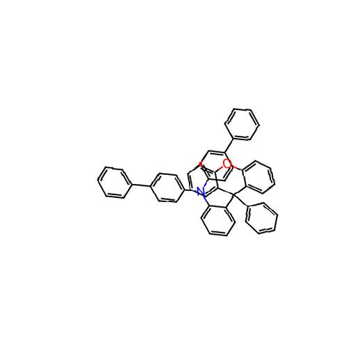 c1ccc(-c2ccc(N(c3ccc(-c4ccccc4)cc3)c3ccccc3C3(c4ccccc4)c4ccccc4Oc4ccccc43)cc2)cc1